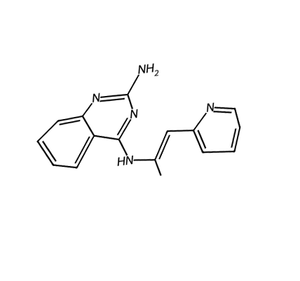 CC(=Cc1ccccn1)Nc1nc(N)nc2ccccc12